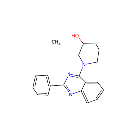 C.OC1CCCN(c2nc(-c3ccccc3)nc3ccccc23)C1